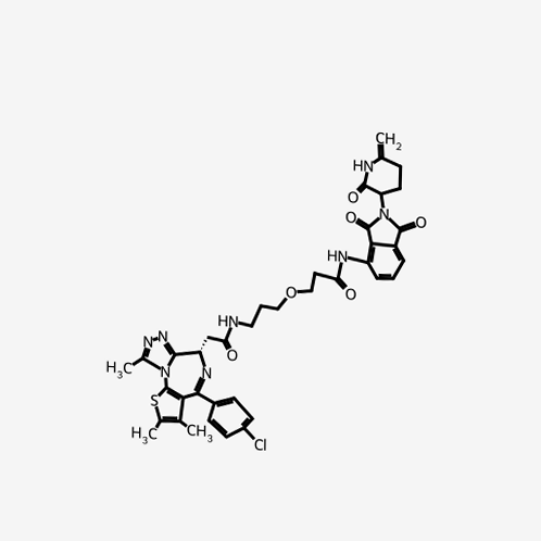 C=C1CCC(N2C(=O)c3cccc(NC(=O)CCOCCCNC(=O)C[C@@H]4N=C(c5ccc(Cl)cc5)c5c(sc(C)c5C)-n5c(C)nnc54)c3C2=O)C(=O)N1